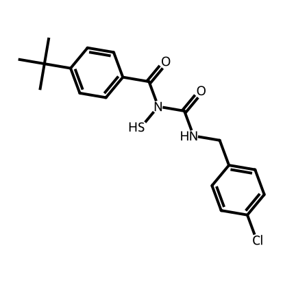 CC(C)(C)c1ccc(C(=O)N(S)C(=O)NCc2ccc(Cl)cc2)cc1